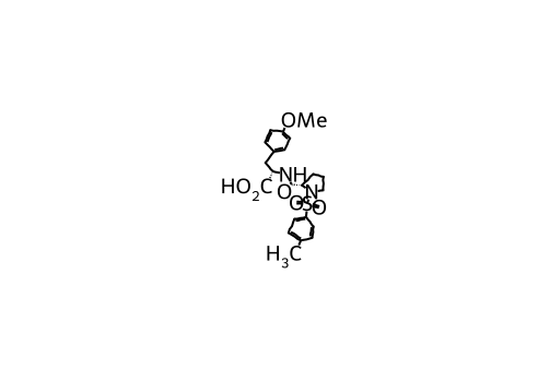 COc1ccc(C[C@H](NC(=O)[C@@H]2CCCN2S(=O)(=O)c2ccc(C)cc2)C(=O)O)cc1